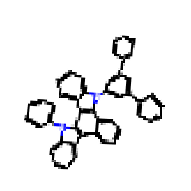 c1ccc(-c2cc(-c3ccccc3)cc(-n3c4ccccc4c4c3c3ccccc3c3c5ccccc5n(-c5ccccc5)c34)c2)cc1